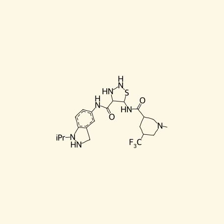 CC(C)N1NCc2cc(NC(=O)C3NNSC3NC(=O)C3CC(C(F)(F)F)CN(C)C3)ccc21